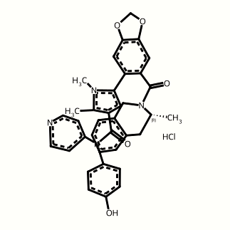 Cc1c(C(=O)N(c2ccncc2)c2ccc(O)cc2)cc(-c2cc3c(cc2C(=O)N2Cc4ccccc4C[C@H]2C)OCO3)n1C.Cl